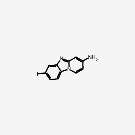 Nc1ccn2c(c1)nc1cc(I)ccc12